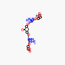 C/C=C\c1ccc(OC/C(N)=C/N(N)CCCOc2ccc3c(c2)CCc2cc(OCCCN(N)/C=C(\N)COc4ccc5ccc(=O)oc5c4)ccc2-c2c-3c2=O)cc1OC=O